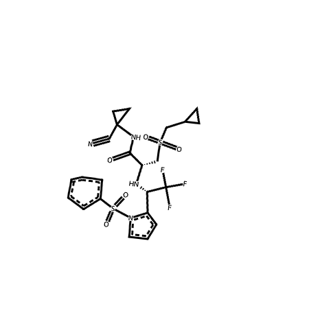 N#CC1(NC(=O)[C@H](CS(=O)(=O)CC2CC2)N[C@@H](c2cccn2S(=O)(=O)c2ccccc2)C(F)(F)F)CC1